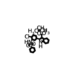 CC(C)(C)OC(=O)c1c(-c2ccc(Cl)c(NS(=O)(=O)c3ccccc3)c2)[nH]c2ccccc12